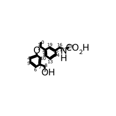 CC(Oc1cccc(CO)c1)c1cccc(CNC(=O)O)c1